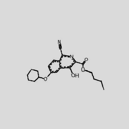 CCCCOC(=O)c1nc(C#N)c2ccc(OC3CCCCC3)cc2c1O